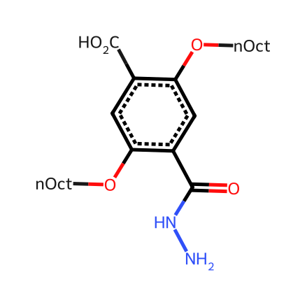 CCCCCCCCOc1cc(C(=O)NN)c(OCCCCCCCC)cc1C(=O)O